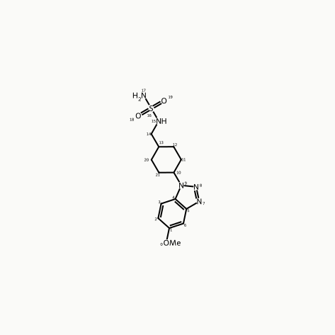 COc1ccc2c(c1)nnn2C1CCC(CNS(N)(=O)=O)CC1